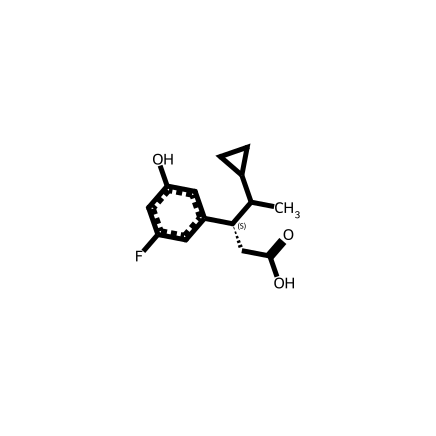 CC(C1CC1)[C@H](CC(=O)O)c1cc(O)cc(F)c1